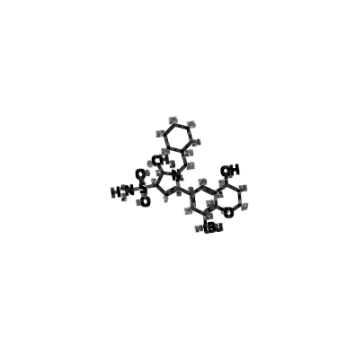 CC1C(S(N)(=O)=O)C=C(c2cc3c(c(C(C)(C)C)c2)OCCC3O)N1CC1CCCCC1